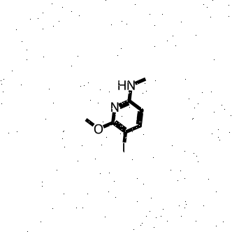 CNc1ccc(I)c(OC)n1